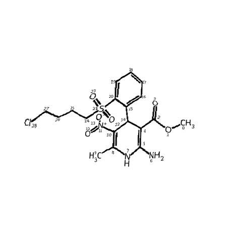 COC(=O)C1=C(N)NC(C)=C([N+](=O)[O-])C1c1ccccc1S(=O)(=O)CCCCCl